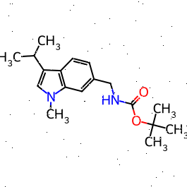 CC(C)c1cn(C)c2cc(CNC(=O)OC(C)(C)C)ccc12